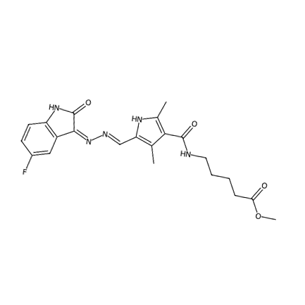 COC(=O)CCCCNC(=O)c1c(C)[nH]c(/C=N/N=C2\C(=O)Nc3ccc(F)cc32)c1C